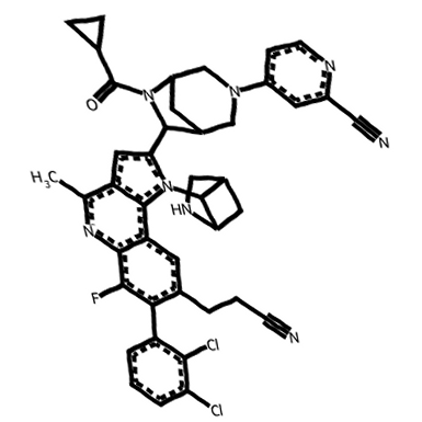 Cc1nc2c(F)c(-c3cccc(Cl)c3Cl)c(CCC#N)cc2c2c1cc(C1C3CC(CN(c4ccnc(C#N)c4)C3)N1C(=O)C1CC1)n2C1C2CNC1C2